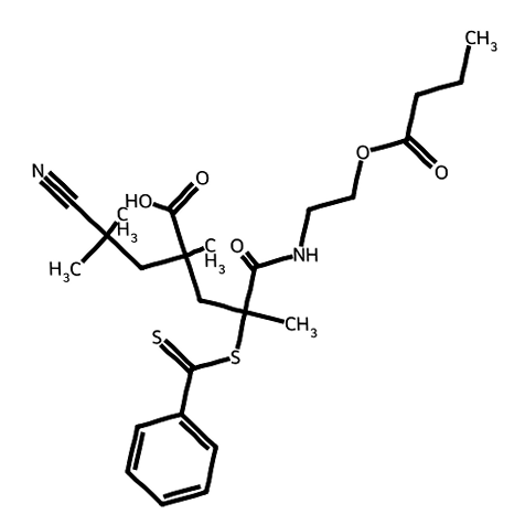 CCCC(=O)OCCNC(=O)C(C)(CC(C)(CC(C)(C)C#N)C(=O)O)SC(=S)c1ccccc1